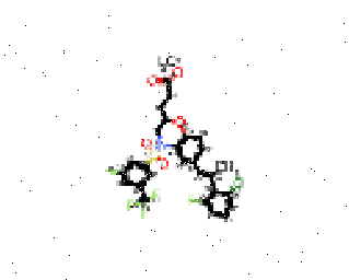 COC(=O)CCC1CN(S(=O)(=O)c2cc(F)cc(C(F)(F)F)c2)c2cc(/C=C(\C)c3c(F)cccc3Cl)ccc2O1